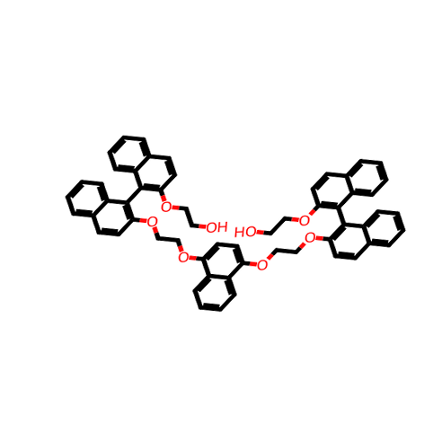 OCCOc1ccc2ccccc2c1-c1c(OCCOc2ccc(OCCOc3ccc4ccccc4c3-c3c(OCCO)ccc4ccccc34)c3ccccc23)ccc2ccccc12